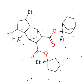 CCC1CC(CC)C2(C)C3CC(C(C(=O)OC4(CC)CC5CCC4C5)C3C(=O)OC3(CC)CCCC3)C12